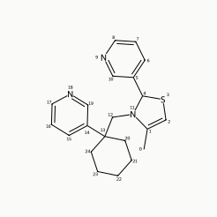 CC1=CSC(c2cccnc2)N1CC1(c2cccnc2)CCCCC1